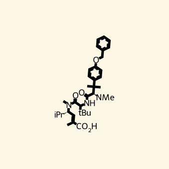 CN[C@H](C(=O)NC(C(=O)N(C)[C@H](/C=C(\C)C(=O)O)C(C)C)C(C)(C)C)C(C)(C)c1ccc(OCc2ccccc2)cc1